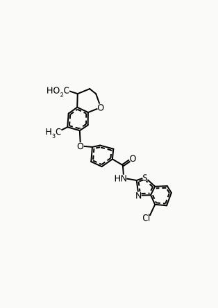 Cc1cc2c(cc1Oc1ccc(C(=O)Nc3nc4c(Cl)cccc4s3)cc1)OCCC2C(=O)O